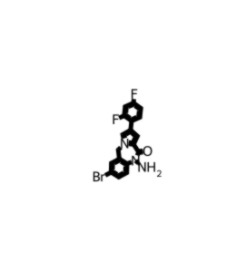 NN1C(=O)c2cc(-c3ccc(F)cc3F)cn2Cc2cc(Br)ccc21